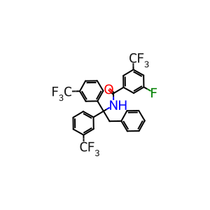 O=C(NC(Cc1ccccc1)(c1cccc(C(F)(F)F)c1)c1cccc(C(F)(F)F)c1)c1cc(F)cc(C(F)(F)F)c1